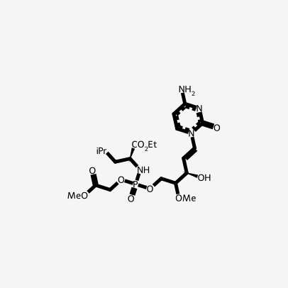 CCOC(=O)[C@H](CC(C)C)NP(=O)(OCC(=O)OC)OCC(OC)[C@H](O)/C=C/n1ccc(N)nc1=O